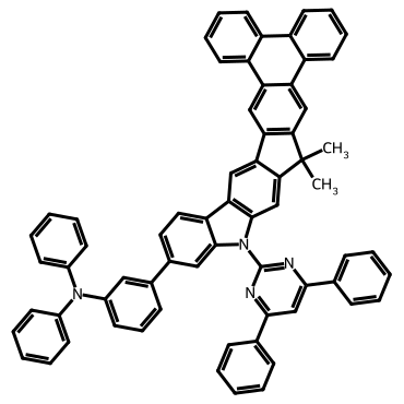 CC1(C)c2cc3c4ccccc4c4ccccc4c3cc2-c2cc3c4ccc(-c5cccc(N(c6ccccc6)c6ccccc6)c5)cc4n(-c4nc(-c5ccccc5)cc(-c5ccccc5)n4)c3cc21